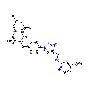 COc1ccnc(NCc2cn(-c3ccc(CC(Nc4c(C)cc(C)cc4C)C(=O)O)cc3)cn2)c1